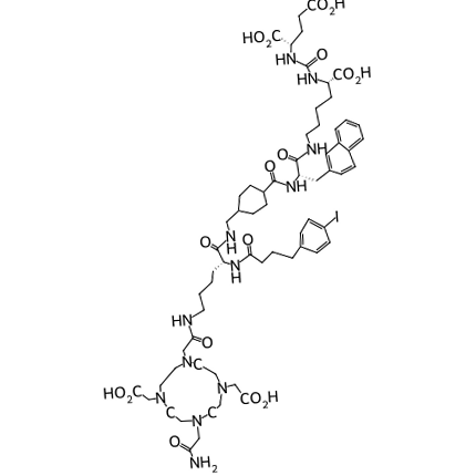 NC(=O)CN1CCN(CC(=O)O)CCN(CC(=O)NCCCC[C@@H](NC(=O)CCCc2ccc(I)cc2)C(=O)NCC2CCC(C(=O)N[C@@H](Cc3ccc4ccccc4c3)C(=O)NCCCC[C@H](NC(=O)N[C@@H](CCC(=O)O)C(=O)O)C(=O)O)CC2)CCN(CC(=O)O)CC1